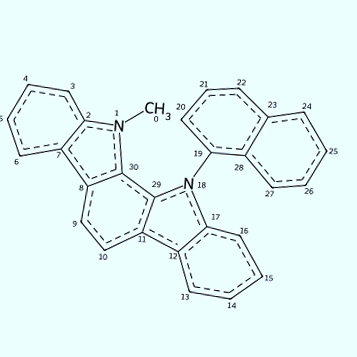 Cn1c2ccccc2c2ccc3c4ccccc4n(-c4cccc5ccccc45)c3c21